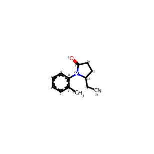 Cc1ccccc1N1C(=O)CCC1CC#N